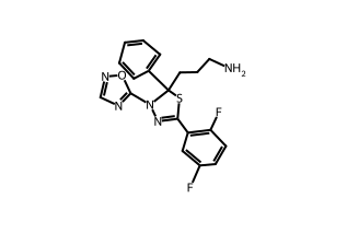 NCCCC1(c2ccccc2)SC(c2cc(F)ccc2F)=NN1c1ncno1